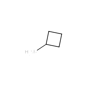 [SbH2][CH]1CCC1